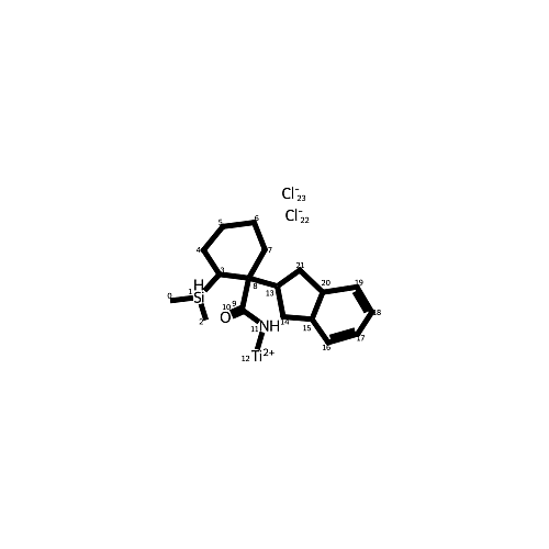 C[SiH](C)C1CCCCC1(C(=O)[NH][Ti+2])C1CC2C=CC=CC2C1.[Cl-].[Cl-]